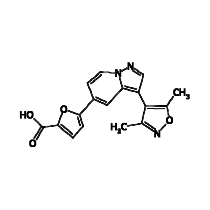 Cc1noc(C)c1-c1cnn2ccc(-c3ccc(C(=O)O)o3)cc12